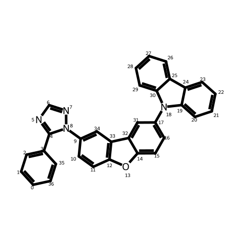 c1ccc(-c2ncnn2-c2ccc3oc4ccc(-n5c6ccccc6c6ccccc65)cc4c3c2)cc1